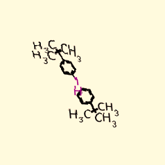 CC(C)(C)c1ccc([IH]c2ccc(C(C)(C)C)cc2)cc1